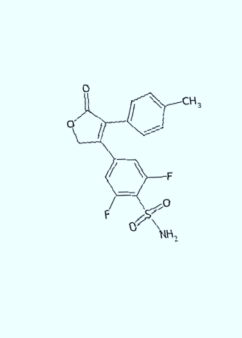 Cc1ccc(C2=C(c3cc(F)c(S(N)(=O)=O)c(F)c3)COC2=O)cc1